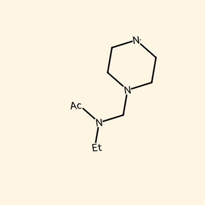 CCN(CN1CC[N]CC1)C(C)=O